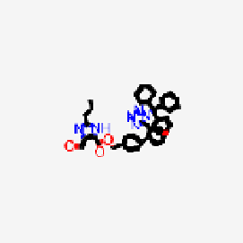 CCCc1nc(C=O)c(C(=O)OCc2ccc(-c3ccccc3-c3nnnn3C(c3ccccc3)(c3ccccc3)c3ccccc3)cc2)[nH]1